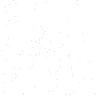 CCCCCCC=CCC(C)(C)O[SiH3]